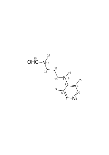 Cc1cncc(C)c1N(C)CCCN(C)C=O